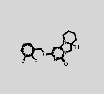 O=c1nc(OCc2cccc(F)c2F)cc2n1C[C@H]1CCCCN21